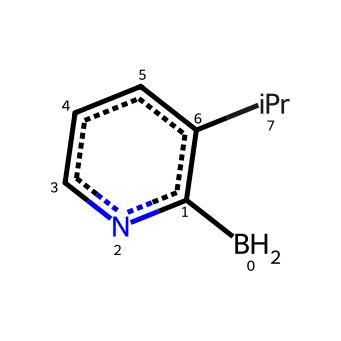 Bc1ncccc1C(C)C